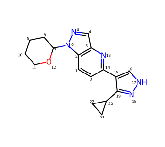 c1cc2c(cnn2C2CCCCO2)nc1-c1c[nH]nc1C1CC1